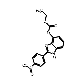 CCOC(=O)Oc1cccc2[nH]c(-c3ccc([N+](=O)[O-])cc3)nc12